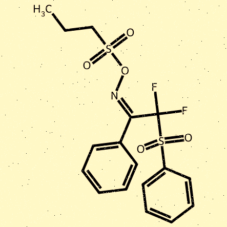 CCCS(=O)(=O)ON=C(c1ccccc1)C(F)(F)S(=O)(=O)c1ccccc1